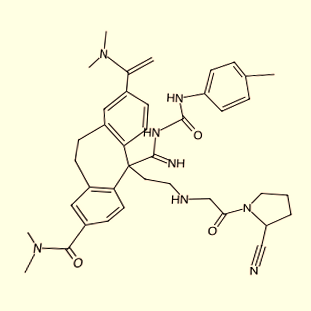 C=C(c1ccc2c(c1)CCc1cc(C(=O)N(C)C)ccc1C2(CCNCC(=O)N1CCCC1C#N)C(=N)NC(=O)Nc1ccc(C)cc1)N(C)C